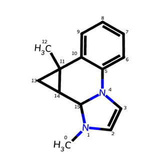 CN1C=CN2c3ccccc3C3(C)CC3C12